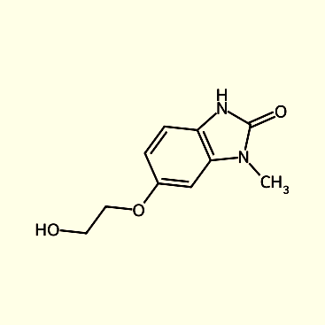 Cn1c(=O)[nH]c2ccc(OCCO)cc21